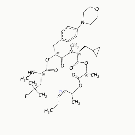 CC/C=C\C(C)OC(=O)[C@@H](C)OC(=O)[C@H](CC1CC1)N(C)C(=O)[C@@H](Cc1ccc(N2CCOCC2)cc1)OC(=O)[C@H](CC(C)(C)F)NC